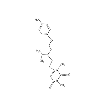 CC(C)N(CCOc1ccc(N)cc1)CCc1cc(=O)n(C)c(=O)n1C